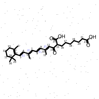 CC1=C(/C=C/C(C)=C/C=C/C(C)=C/C(=O)C(CCCCCCC(=O)O)C(=O)O)C(C)(C)CCC1